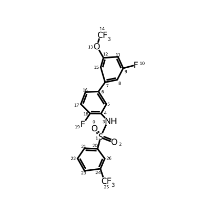 O=S(=O)(Nc1cc(-c2cc(F)cc(OC(F)(F)F)c2)ccc1F)c1cccc(C(F)(F)F)c1